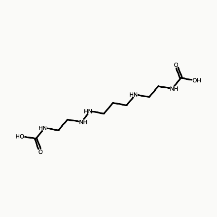 O=C(O)NCCNCCCNNCCNC(=O)O